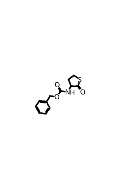 O=C(NC1CCSC1=O)OCc1ccccc1